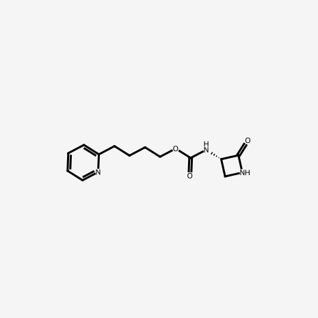 O=C(N[C@H]1CNC1=O)OCCCCc1ccccn1